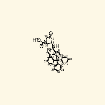 O=C1CC(Nc2ncnc3c2ccn3C(c2ccccc2)(c2ccccc2)c2ccccc2)CN(C(=O)O)C1